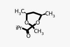 CC(C)C(=O)C1(C)O[C@H](C)C[C@@H](C)O1